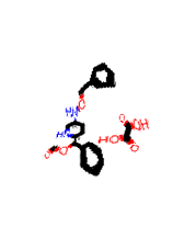 O=C(O)C(=O)O.O=COC(c1ccccc1)[C@@H]1CC[C@@H](NOCc2ccccc2)CN1